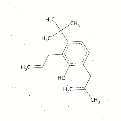 C=CCc1c(C(C)(C)C)ccc(CC(=C)C)c1O